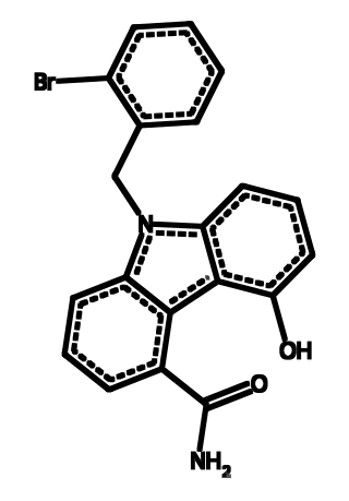 NC(=O)c1cccc2c1c1c(O)cccc1n2Cc1ccccc1Br